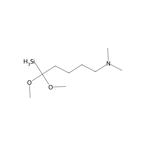 COC([SiH3])(CCCCN(C)C)OC